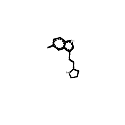 Cc1ccc2[nH]cc(CCC3CCCN3)c2c1